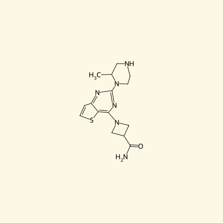 CC1CNCCN1c1nc(N2CC(C(N)=O)C2)c2sccc2n1